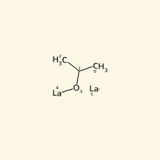 CC(C)[O][La].[La]